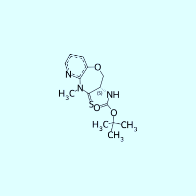 CN1C(=S)[C@@H](NC(=O)OC(C)(C)C)COc2cccnc21